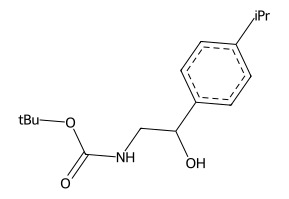 CC(C)c1ccc(C(O)CNC(=O)OC(C)(C)C)cc1